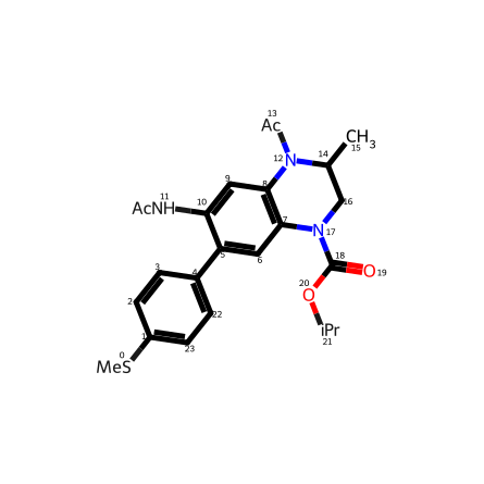 CSc1ccc(-c2cc3c(cc2NC(C)=O)N(C(C)=O)C(C)CN3C(=O)OC(C)C)cc1